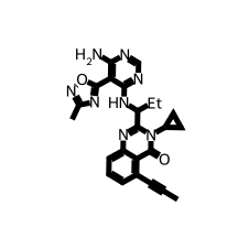 CC#Cc1cccc2nc(C(CC)Nc3ncnc(N)c3-c3nc(C)no3)n(C3CC3)c(=O)c12